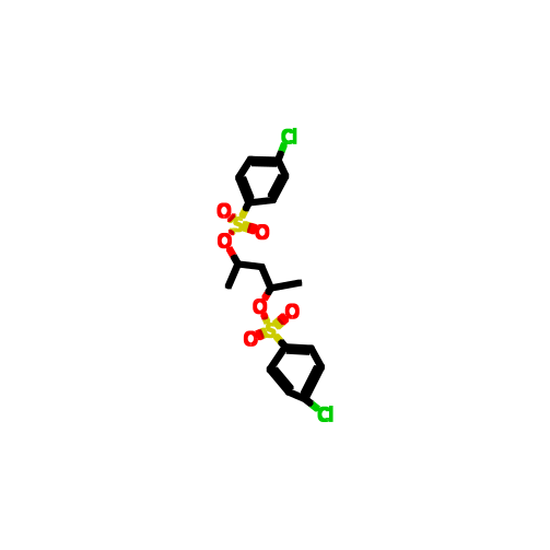 CC(CC(C)OS(=O)(=O)c1ccc(Cl)cc1)OS(=O)(=O)c1ccc(Cl)cc1